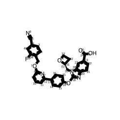 N#Cc1ccc(COc2cccc(-c3ccc(Oc4nc5ccc(C(=O)O)cc5n4C[C@@H]4CCO4)cc3)n2)c(F)c1